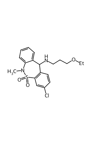 CCOCCCNC1c2ccccc2N(C)S(=O)(=O)c2cc(Cl)ccc21